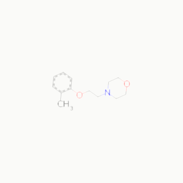 Cc1ccccc1OCCN1CCOCC1